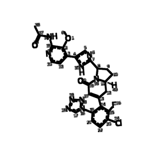 COc1c(-c2cnc(C3CC[C@H]4CC(c5c(-n6cnnn6)ccc(Cl)c5F)=CC(=O)N34)[nH]2)ccnc1NC(C)=O